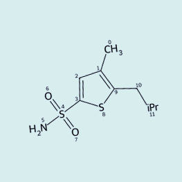 Cc1cc(S(N)(=O)=O)sc1CC(C)C